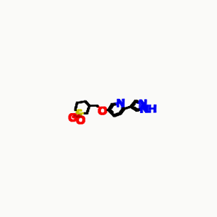 O=S1(=O)CCCC(COc2ccc(-c3cn[nH]c3)nc2)C1